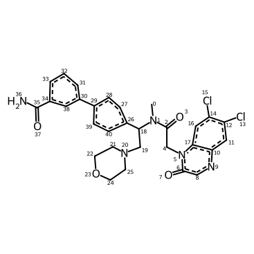 CN(C(=O)Cn1c(=O)cnc2cc(Cl)c(Cl)cc21)C(CN1CCOCC1)c1ccc(-c2cccc(C(N)=O)c2)cc1